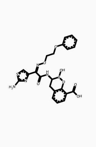 Nc1nc(C(=NOCCOc2ccccc2)C(=O)NC2Cc3cccc(C(=O)O)c3OB2O)cs1